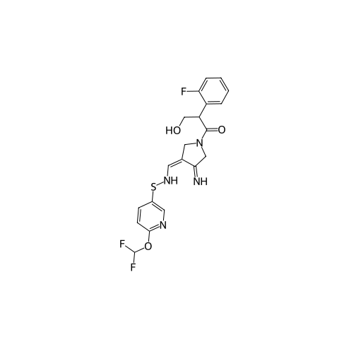 N=C1CN(C(=O)C(CO)c2ccccc2F)C/C1=C/NSc1ccc(OC(F)F)nc1